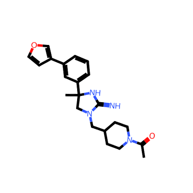 CC(=O)N1CCC(CN2CC(C)(c3cccc(-c4ccoc4)c3)NC2=N)CC1